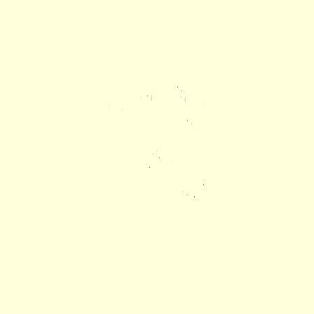 C[C@@H]1CCC[C@H](n2ncc(-c3cc(Cl)ccc3-n3cc(C(F)(F)F)nn3)cc2=O)c2ccnc(c2)-c2c(cnn2C)NC1=O